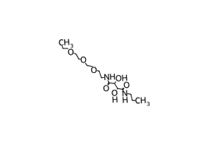 CCCNC(=O)C(O)C(O)C(=O)NCCOCCOCCOCCC